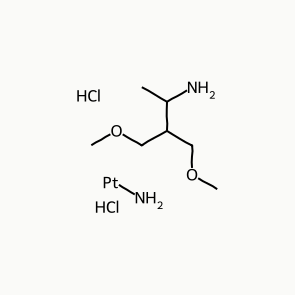 COCC(COC)C(C)N.Cl.Cl.[NH2][Pt]